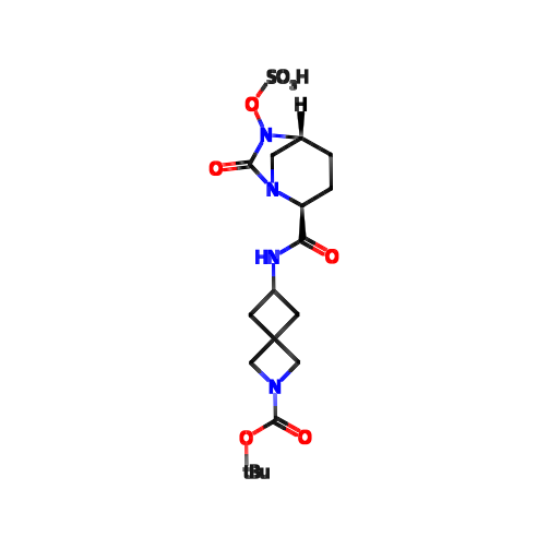 CC(C)(C)OC(=O)N1CC2(CC(NC(=O)[C@@H]3CC[C@@H]4CN3C(=O)N4OS(=O)(=O)O)C2)C1